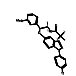 COc1cccc([C@H](Oc2ccc3c(cnn3-c3ccc(Cl)cc3)c2)[C@H](C)NC(=O)C(C)(F)F)c1